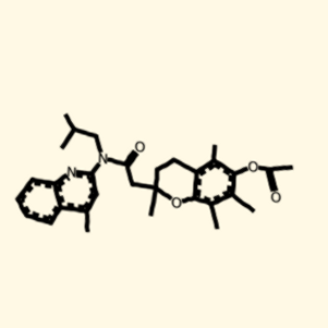 CC(=O)Oc1c(C)c(C)c2c(c1C)CCC(C)(CC(=O)N(CC(C)C)c1cc(C)c3ccccc3n1)O2